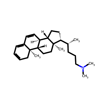 C[C@H](CCCN(C)C)[C@H]1CC[C@H]2[C@@H]3C=CC4=CC=CC[C@]4(C)[C@H]3CC[C@]12C